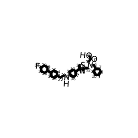 O=C(O)CN(Cc1ccccc1)Cc1nc(-c2ccc(NCCc3ccc(C4CCC(F)CC4)cc3)cc2)cs1